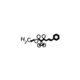 C=CCOC(=O)C(C(=O)CC=Cc1ccccc1)=S(=O)=O